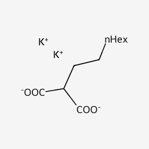 CCCCCCCCC(C(=O)[O-])C(=O)[O-].[K+].[K+]